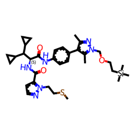 CSCCn1nccc1C(=O)N[C@H](C(=O)Nc1ccc(-c2c(C)nn(COCC[Si](C)(C)C)c2C)cc1)C(C1CC1)C1CC1